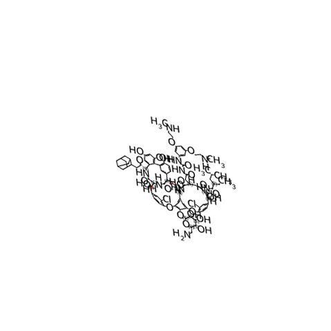 CC[C@H](CC(C)C)C(=O)N[C@H]1C(=O)C[C@@H](CC(=O)NC(=O)Nc2cc(OCCNC)cc(OCCNC)c2)C(=O)N[C@H]2C(=O)C[C@H]3C(=O)N[C@H](C(=O)N[C@H](C(=O)CC4C5CC6CC(C5)CC4C6)c4cc(O)cc(O)c4-c4cc3ccc4O)[C@H](O)c3ccc(c(Cl)c3)Oc3cc2cc(c3O[C@@H]2O[C@H](CN)[C@@H](O)[C@H](O)[C@H]2O)Oc2ccc(cc2Cl)[C@H]1O